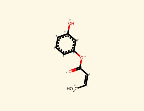 O=C(O)/C=C\C(=O)Oc1cccc(O)c1